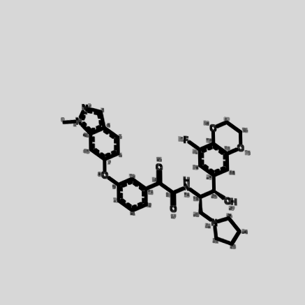 Cn1ncc2ccc(Oc3cccc(C(=O)C(=O)N[C@H](CN4CCCC4)[C@H](O)c4cc(F)c5c(c4)OCCO5)c3)cc21